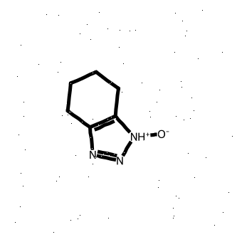 [O-][NH+]1N=NC2=C1CCCC2